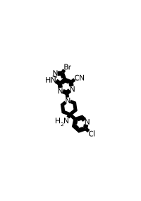 N#Cc1nc(N2CCC(N)(c3ccc(Cl)nc3)CC2)nc2[nH]nc(Br)c12